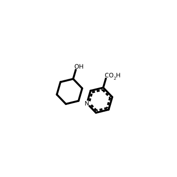 O=C(O)c1cccnc1.OC1CCCCC1